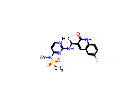 CC(Nc1nccc(N(C(C)C)S(C)(=O)=O)n1)c1cc2cc(Cl)ccc2[nH]c1=O